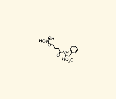 O=C(CCCON(O)O)NC(Cc1ccccc1)C(=O)O